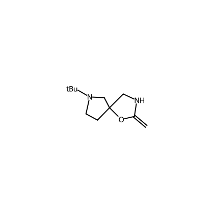 C=C1NCC2(CCN(C(C)(C)C)C2)O1